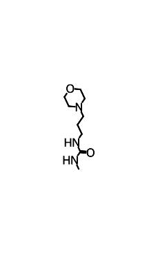 CNC(=O)NCCCN1CCOCC1